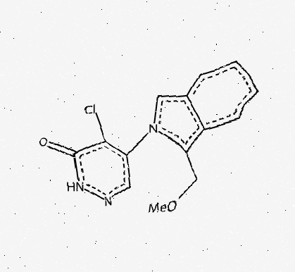 COCc1c2ccccc2cn1-c1cn[nH]c(=O)c1Cl